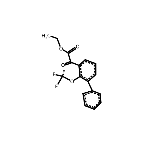 CCOC(=O)C(=O)c1cccc(-c2ccccc2)c1OC(F)(F)F